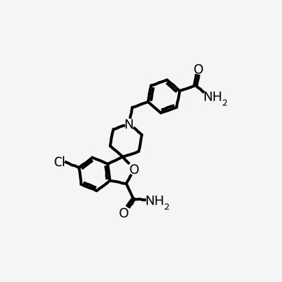 NC(=O)c1ccc(CN2CCC3(CC2)OC(C(N)=O)c2ccc(Cl)cc23)cc1